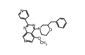 COc1cncc2nc(-c3ccncc3)nc(N3CCOC(Cc4ccccc4)C3)c12